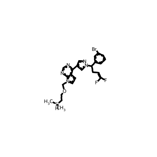 C[SiH](C)CCOCn1ccc2c(-c3cnn(C(CC=C(F)F)c4cccc(Br)c4)c3)ncnc21